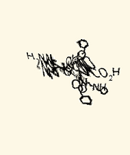 Nc1ncnc2c1ncn2[C@@H]1O[C@H](C[C@H](CC[C@H](NC(=O)OCc2ccccc2)C(=O)O)N(CCNCc2ccccc2)C(=O)OCc2ccccc2)C(O)[C@@H]1O